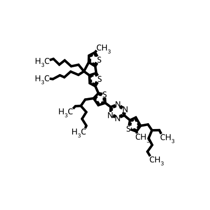 CCCCCCC1(CCCCCC)c2cc(C)sc2-c2sc(-c3sc(-c4nnc(-c5cc(CC(CC)CCCC)c(C)s5)nn4)cc3CC(CC)CCCC)cc21